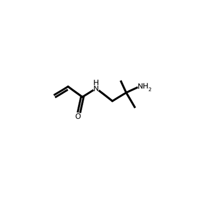 C=CC(=O)NCC(C)(C)N